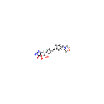 O=c1[nH]cnc(C[C@@H](CO)c2ccc(C#Cc3ccc(CN4CCOCC4)cc3)cc2)c1O